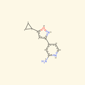 Nc1cc(-c2cc(C3CC3)on2)ccn1